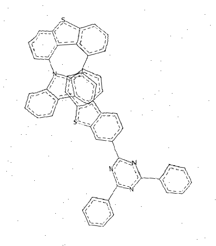 c1ccc(-c2nc(-c3ccccc3)nc(-c3ccc4c(c3)sc3ccc(-c5cccc6sc7cccc(-n8c9ccccc9c9ccccc98)c7c56)cc34)n2)cc1